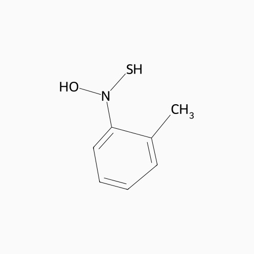 Cc1ccccc1N(O)S